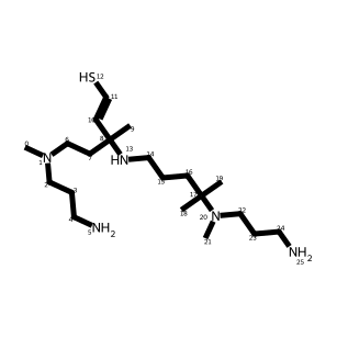 CN(CCCN)CCC(C)(C=CS)NCCCC(C)(C)N(C)CCCN